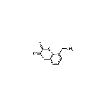 CCc1cccc2c1SC(=O)C(=O)C2